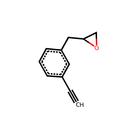 C#Cc1cccc(CC2CO2)c1